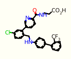 O=C(O)CCNC(=O)c1ccc(-c2cc(Cl)ccc2CNc2ccc(-c3ccccc3C(F)(F)F)cc2)cn1